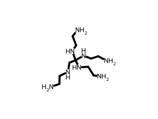 NCCNCC(NCCN)(NCCN)NCCN